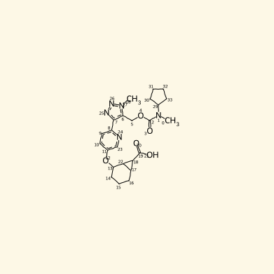 CN(C(=O)OCc1c(-c2ccc(OC3CCCC4C(C(=O)O)C34)cn2)nnn1C)C1CCCC1